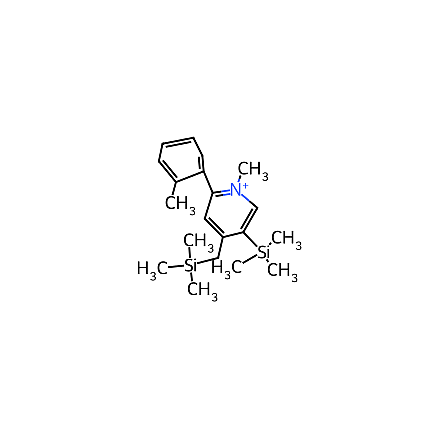 Cc1ccccc1-c1cc(C[Si](C)(C)C)c([Si](C)(C)C)c[n+]1C